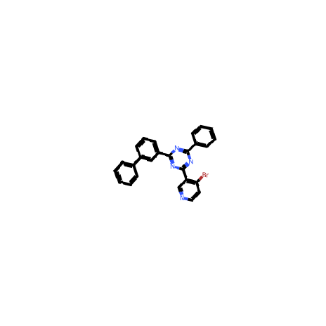 Brc1ccncc1-c1nc(-c2ccccc2)nc(-c2cccc(-c3ccccc3)c2)n1